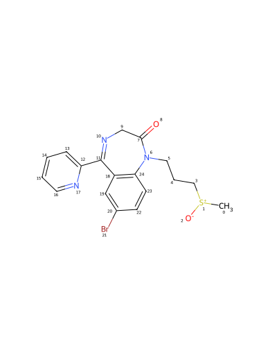 C[S+]([O-])CCCN1C(=O)CN=C(c2ccccn2)c2cc(Br)ccc21